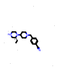 CC[C@H]1CNCCN1C1CCN(Cc2ccc(C#N)cc2)CC1